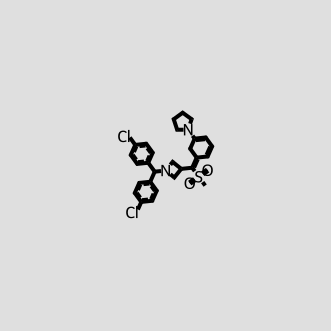 CS(=O)(=O)C(=C1C=CC=C(N2CCCC2)C1)C1CN(C(c2ccc(Cl)cc2)c2ccc(Cl)cc2)C1